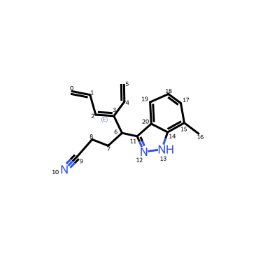 C=C/C=C(\C=C)C(CCC#N)c1n[nH]c2c(C)cccc12